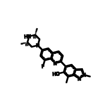 Cc1c(O)c(-c2ccc3cc(N4C[C@@H](C)N[C@@H](C)C4)cc(F)c3n2)cc2cn(C)nc12